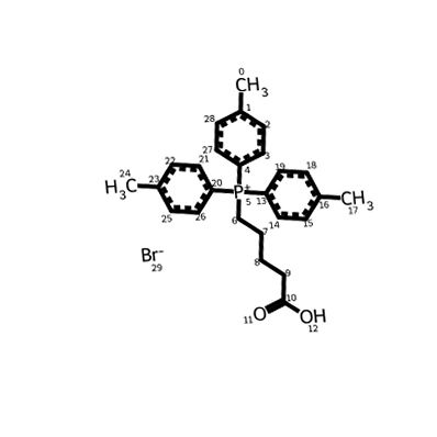 Cc1ccc([P+](CCCCC(=O)O)(c2ccc(C)cc2)c2ccc(C)cc2)cc1.[Br-]